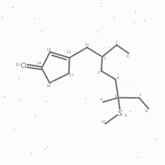 CCC(CCC(C)(CC)SC)CC1=CC(=O)CC1